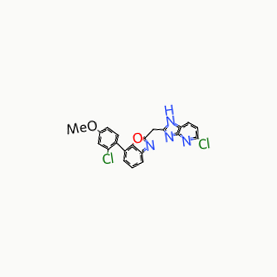 COc1ccc(-c2cccc3nc(Cc4nc5nc(Cl)ccc5[nH]4)oc23)c(Cl)c1